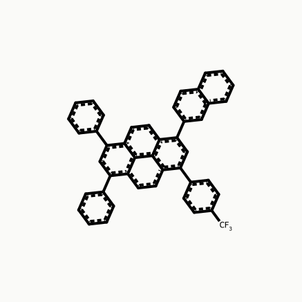 FC(F)(F)c1ccc(-c2cc(-c3ccc4ccccc4c3)c3ccc4c(-c5ccccc5)cc(-c5ccccc5)c5ccc2c3c54)cc1